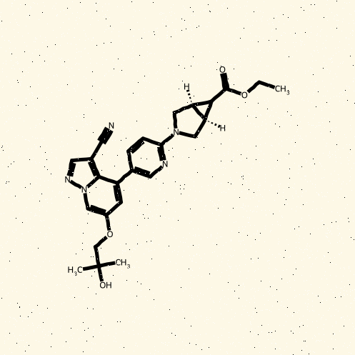 CCOC(=O)C1[C@H]2CN(c3ccc(-c4cc(OCC(C)(C)O)cn5ncc(C#N)c45)cn3)C[C@@H]12